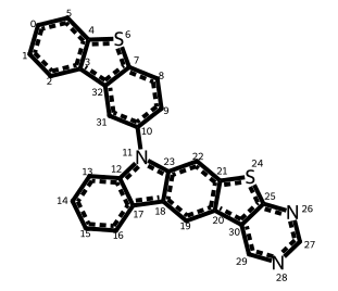 c1ccc2c(c1)sc1ccc(-n3c4ccccc4c4cc5c(cc43)sc3ncncc35)cc12